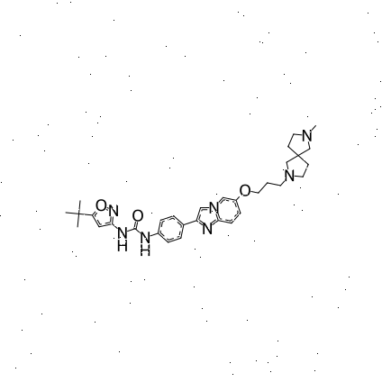 CN1CCC2(CCN(CCCOc3ccc4nc(-c5ccc(NC(=O)Nc6cc(C(C)(C)C)on6)cc5)cn4c3)C2)C1